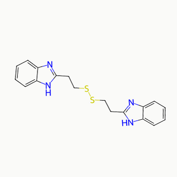 c1ccc2[nH]c(CCSSCCc3nc4ccccc4[nH]3)nc2c1